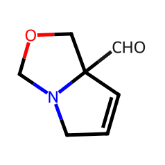 O=CC12C=CCN1COC2